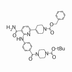 CC(C)(C)OC(=O)N1CCN(C(=O)c2ccc(Nc3nc(C4=CCN(C(=O)OCc5ccccc5)CC4)ccc3C(N)=O)cc2)CC1